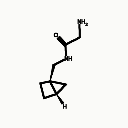 NCC(=O)NC[C@]12CC[C@H]1C2